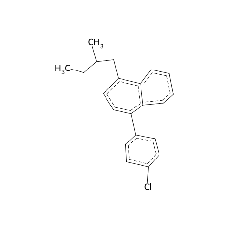 CCC(C)Cc1ccc(-c2ccc(Cl)cc2)c2ccccc12